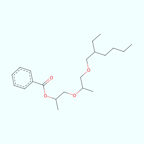 CCCCC(CC)COCC(C)OCC(C)OC(=O)c1ccccc1